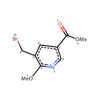 COC(=O)c1cnc(OC)c(CBr)c1